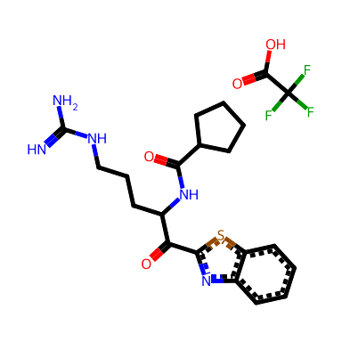 N=C(N)NCCCC(NC(=O)C1CCCC1)C(=O)c1nc2ccccc2s1.O=C(O)C(F)(F)F